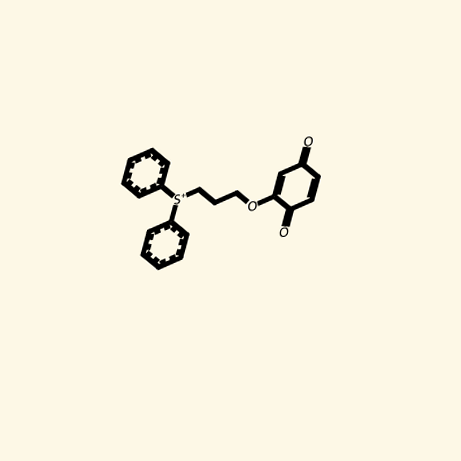 O=C1C=CC(=O)C(OCCC[S+](c2ccccc2)c2ccccc2)=C1